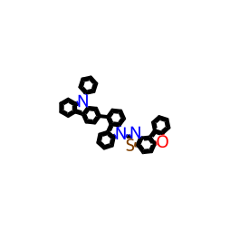 c1ccc(-n2c3ccccc3c3ccc(-c4cccc5c4c4ccccc4n5-c4nc5c(ccc6oc7ccccc7c65)s4)cc32)cc1